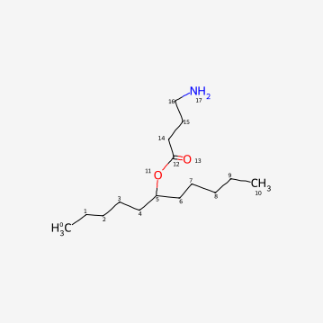 CCCCCC(CCCCC)OC(=O)CCCN